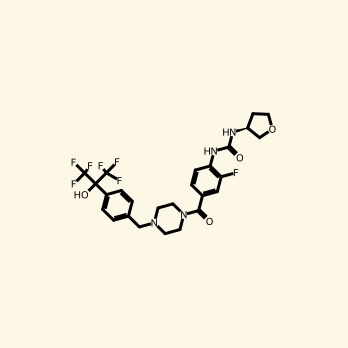 O=C(Nc1ccc(C(=O)N2CCN(Cc3ccc(C(O)(C(F)(F)F)C(F)(F)F)cc3)CC2)cc1F)N[C@H]1CCOC1